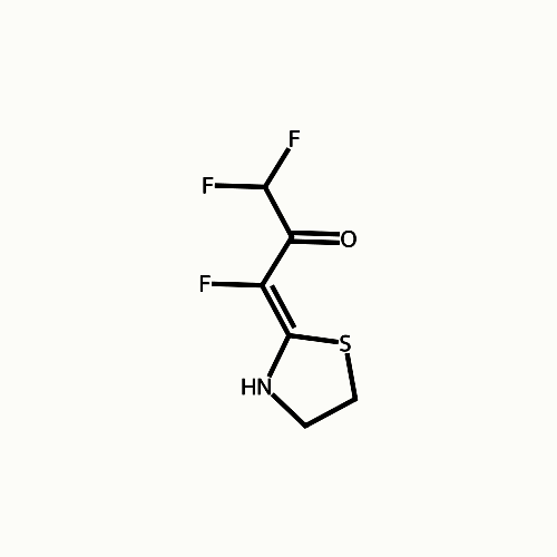 O=C(C(F)=C1NCCS1)C(F)F